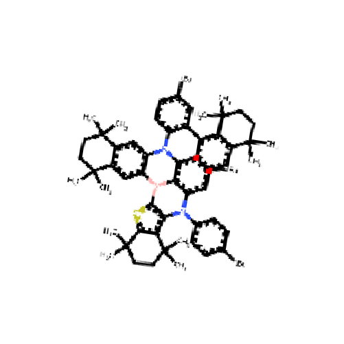 CC(C)(C)c1ccc(N2c3cc(C(C)(C)C)cc4c3B(c3cc5c(cc3N4c3ccc(C(C)(C)C)cc3-c3cccc4c3C(C)(C)CCC4(C)C)C(C)(C)CCC5(C)C)c3sc4c(c32)C(C)(C)CCC4(C)C)cc1